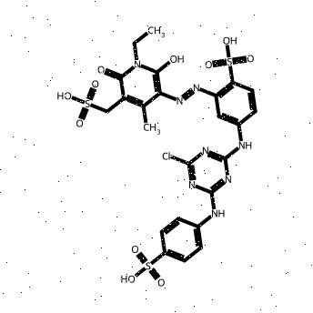 CCn1c(O)c(/N=N/c2cc(Nc3nc(Cl)nc(Nc4ccc(S(=O)(=O)O)cc4)n3)ccc2S(=O)(=O)O)c(C)c(CS(=O)(=O)O)c1=O